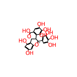 O=C(O)c1cc(O)c(O)c(O)c1C1Cc2c(O)cc(O)cc2O[C@@H]1c1cc(O)c(O)c(O)c1